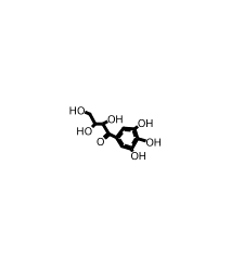 O=C(c1cc(O)c(O)c(O)c1)C(O)C(O)CO